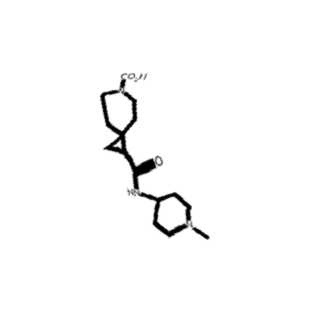 CN1CCC(NC(=O)C2CC23CCN(C(=O)O)CC3)CC1